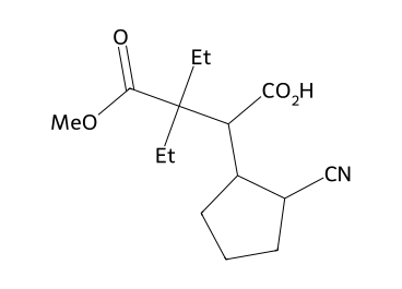 CCC(CC)(C(=O)OC)C(C(=O)O)C1CCCC1C#N